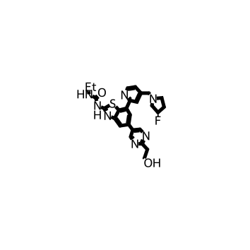 CCNC(=O)Nc1nc2cc(-c3cnc(CCO)nc3)cc(-c3cc(CN4CC[C@H](F)C4)ccn3)c2s1